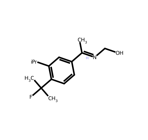 C/C(=N\CO)c1ccc(C(C)(C)F)c(C(C)C)c1